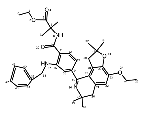 CCOC(=O)C(C)(C)NC(=O)c1ccc(C2=NC(C)(C)Cc3cc(OCC)c4c(c32)CC(C)(C)O4)cc1NCc1ccccc1